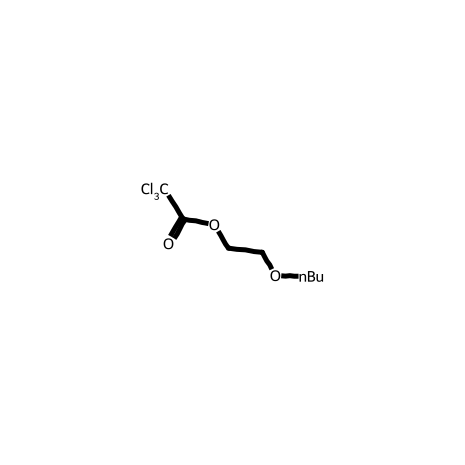 CCCCOCCOC(=O)C(Cl)(Cl)Cl